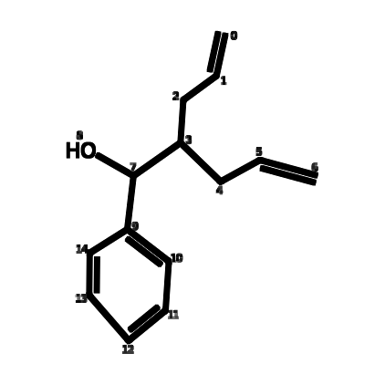 C=CCC(CC=C)C(O)c1ccccc1